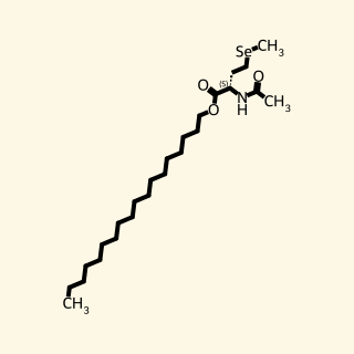 CCCCCCCCCCCCCCCCCCOC(=O)[C@H](CC[Se]C)NC(C)=O